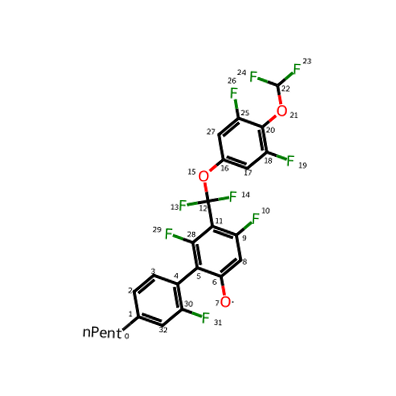 CCCCCc1ccc(-c2c([O])cc(F)c(C(F)(F)Oc3cc(F)c(OC(F)F)c(F)c3)c2F)c(F)c1